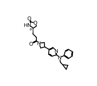 O=C1N[C@H](CCC(=O)N2CC(c3ccc(N(CC4CC4)c4ccccc4)nc3)C2)CO1